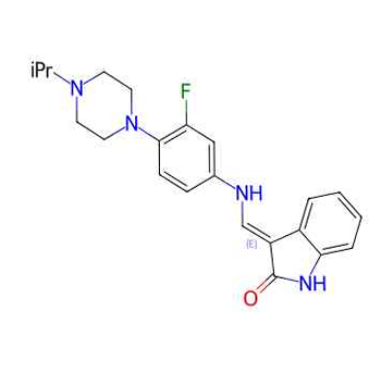 CC(C)N1CCN(c2ccc(N/C=C3/C(=O)Nc4ccccc43)cc2F)CC1